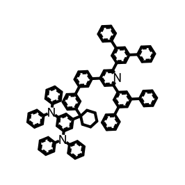 c1ccc(-c2cc(-c3ccccc3)cc(-c3cc(-c4cccc(-c5cccc(C6(c7cc(N(c8ccccc8)c8ccccc8)cc(N(c8ccccc8)c8ccccc8)c7)CCCCC6)c5)c4)cc(-c4cc(-c5ccccc5)cc(-c5ccccc5)c4)n3)c2)cc1